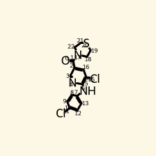 O=C(c1cnc(Nc2ccc(Cl)cc2)c(Cl)c1)N1CCSCC1